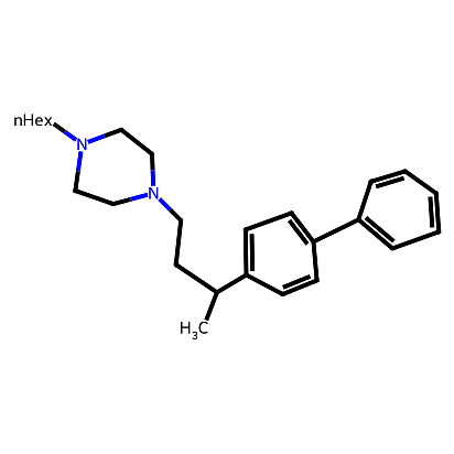 CCCCCCN1CCN(CCC(C)c2ccc(-c3ccccc3)cc2)CC1